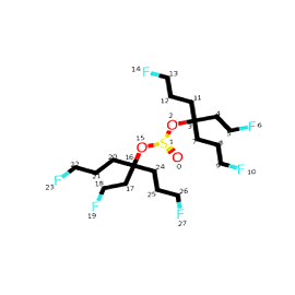 O=S(OC(CCF)(CCCF)CCCF)OC(CCF)(CCCF)CCCF